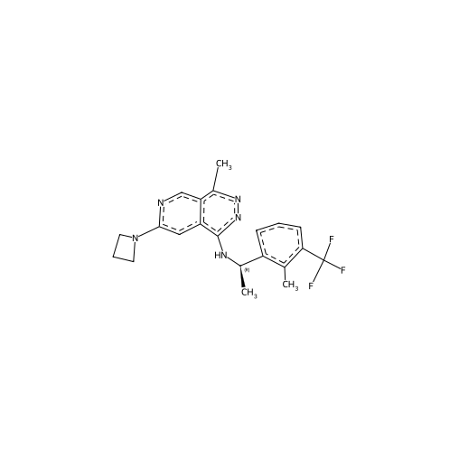 Cc1c([C@@H](C)Nc2nnc(C)c3cnc(N4CCC4)cc23)cccc1C(F)(F)F